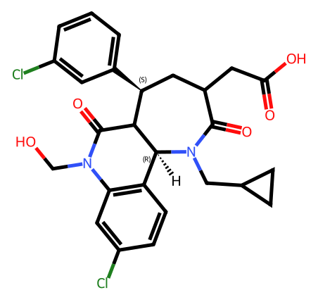 O=C(O)CC1C[C@H](c2cccc(Cl)c2)C2C(=O)N(CO)c3cc(Cl)ccc3[C@@H]2N(CC2CC2)C1=O